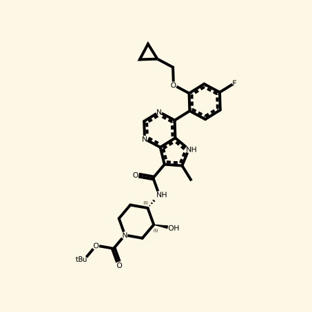 Cc1[nH]c2c(-c3ccc(F)cc3OCC3CC3)ncnc2c1C(=O)N[C@H]1CCN(C(=O)OC(C)(C)C)C[C@@H]1O